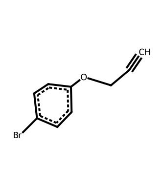 C#CCOc1ccc(Br)cc1